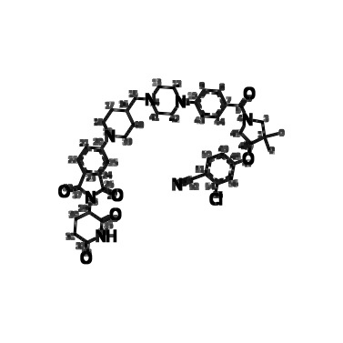 CC1(C)CN(C(=O)c2ccc(N3CCN(CC4CCN(c5ccc6c(c5)C(=O)N(C5CCC(=O)NC5=O)C6=O)CC4)CC3)cc2)C[C@@H]1Oc1ccc(C#N)c(Cl)c1